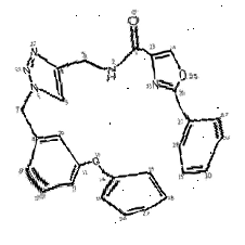 O=C(NCc1cn(Cc2cccc(Oc3ccccc3)c2)nn1)c1coc(-c2ccccc2)n1